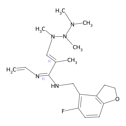 C=C/N=C(NCc1c(F)ccc2c1CCO2)\C(C)=C\N(C)N(C)N(C)C